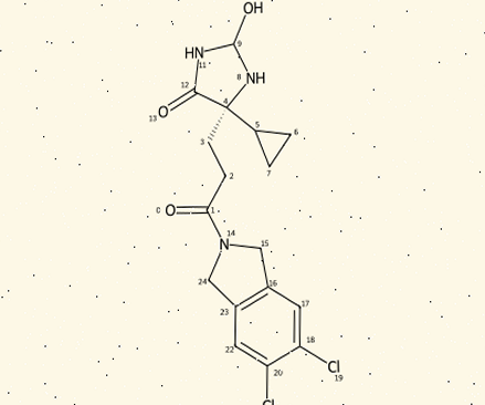 O=C(CC[C@@]1(C2CC2)NC(O)NC1=O)N1Cc2cc(Cl)c(Cl)cc2C1